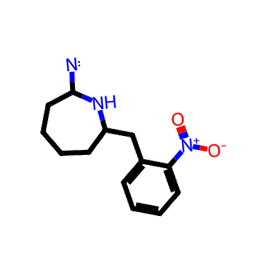 [N]C1CCCCC(Cc2ccccc2[N+](=O)[O-])N1